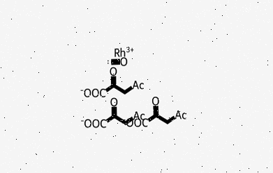 CC(=O)CC(=O)C(=O)[O-].CC(=O)CC(=O)C(=O)[O-].CC(=O)CC(=O)C(=O)[O-].[C]=O.[Rh+3]